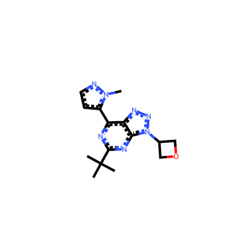 Cn1nccc1-c1nc(C(C)(C)C)nc2c1nnn2C1COC1